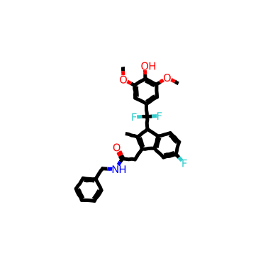 COc1cc(C(F)(F)C2C(C)=C(CC(=O)NCc3ccccc3)c3cc(F)ccc32)cc(OC)c1O